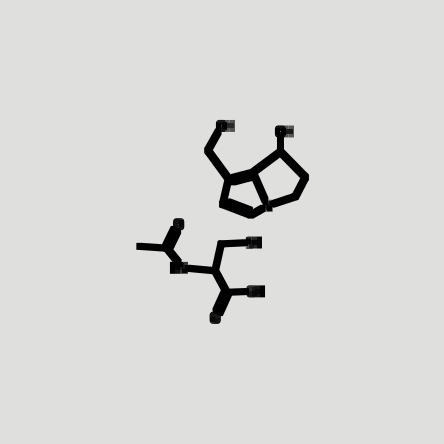 CC(=O)NC(CS)C(=O)O.OCc1ccn2c1C(O)CC2